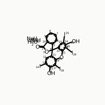 O.O=C1OC2(c3ccccc31)c1cc(I)c(O)c(I)c1Oc1c2cc(I)c(O)c1I.[NaH].[NaH]